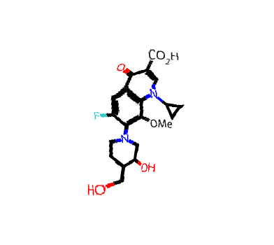 COc1c(N2CCC(CO)C(O)C2)c(F)cc2c(=O)c(C(=O)O)cn(C3CC3)c12